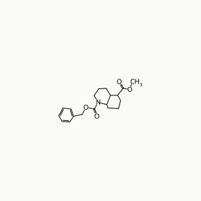 COC(=O)C1CCCC2C1CCCN2C(=O)OCc1ccccc1